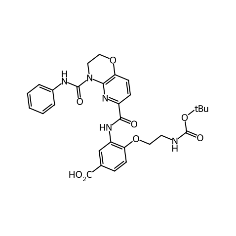 CC(C)(C)OC(=O)NCCOc1ccc(C(=O)O)cc1NC(=O)c1ccc2c(n1)N(C(=O)Nc1ccccc1)CCO2